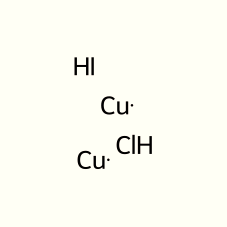 Cl.I.[Cu].[Cu]